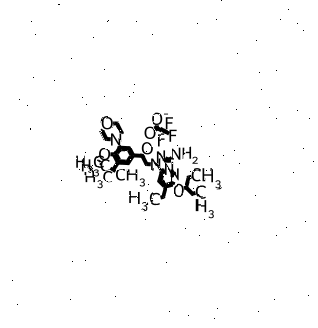 CCc1cc2n(nc1OC(CC)CC)c(N)n[n+]2CC(=O)c1cc(N2CCOCC2)c(OC)c(C(C)(C)C)c1.O=C([O-])C(F)(F)F